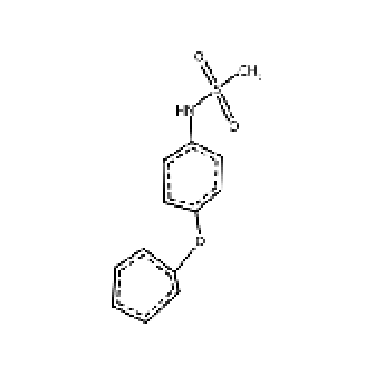 CS(=O)(=O)Nc1ccc(Oc2ccccc2)cc1